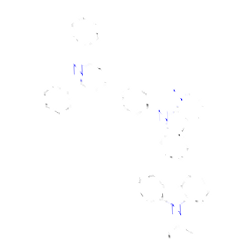 c1ccc(-c2cc(-c3ccc(-n4c5ccc(-c6cccc7c6c6ccccc6n7-c6ccccc6)cc5c5cccnc54)cc3)cc(-c3ccccc3)n2)cc1